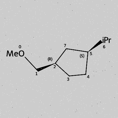 COC[C@@H]1CC[C@H](C(C)C)C1